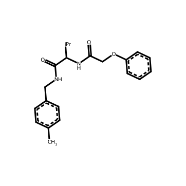 Cc1ccc(CNC(=O)C(NC(=O)COc2ccccc2)C(C)C)cc1